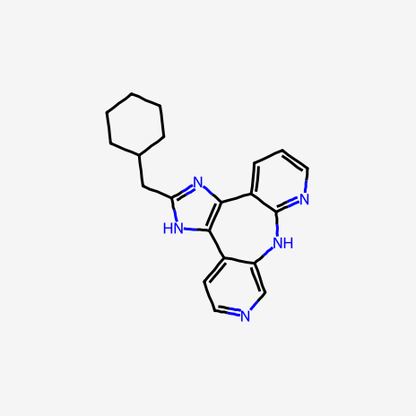 c1cnc2c(c1)-c1nc(CC3CCCCC3)[nH]c1-c1ccncc1N2